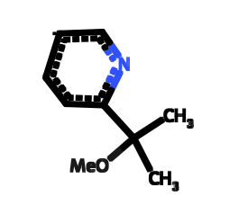 COC(C)(C)c1cc[c]cn1